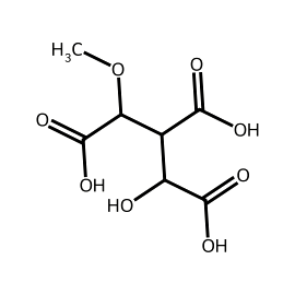 COC(C(=O)O)C(C(=O)O)C(O)C(=O)O